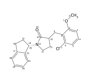 COc1cccc(Cl)c1CC1CCN([C@H]2CCc3ccccc32)C1=O